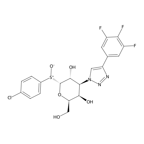 [O-][S+](c1ccc(Cl)cc1)[C@H]1O[C@H](CO)[C@H](O)[C@H](n2cc(-c3cc(F)c(F)c(F)c3)nn2)[C@H]1O